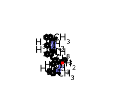 C=C(/C=C/C=C1/N(CC)c2ccc3ccccc3c2C1(C)C)C(C)(Cc1ccccc1)c1c(C)cc(Cc2cc3c(c4ccccc24)C(C)(Cc2ccccc2)C(/C=C/C=C2/N(CC)c4ccc5ccccc5c4C2(C)C)=[N+]3C)c2ccccc12